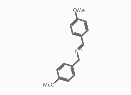 COc1ccc(/C=N/Cc2ccc(OC)cc2)cc1